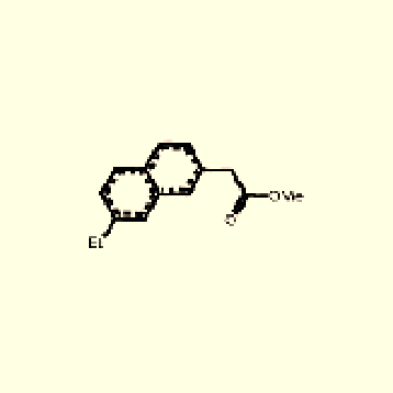 CCc1ccc2ccc(CC(=O)OC)cc2c1